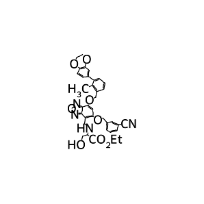 CCOC(=O)C(CO)NCc1c(OCc2cccc(C#N)c2)cc(OCc2cccc(-c3ccc4c(c3)OCCO4)c2C)c2nonc12